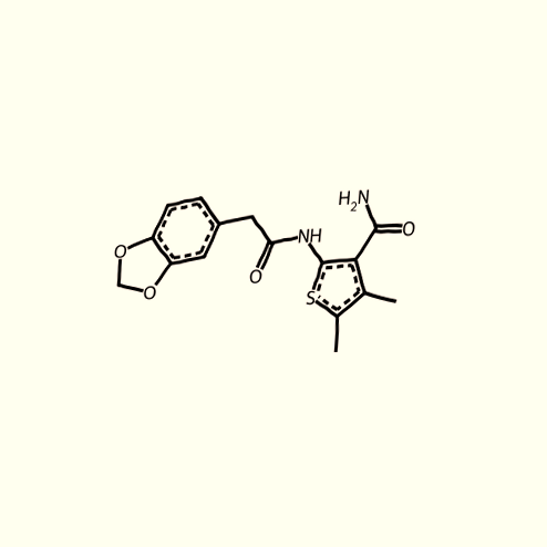 Cc1sc(NC(=O)Cc2ccc3c(c2)OCO3)c(C(N)=O)c1C